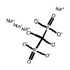 O=P([O-])([O-])C(Cl)(Cl)P(=O)([O-])[O-].[Na+].[Na+].[Na+].[Na+]